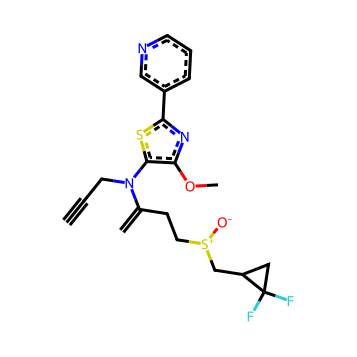 C#CCN(C(=C)CC[S+]([O-])CC1CC1(F)F)c1sc(-c2cccnc2)nc1OC